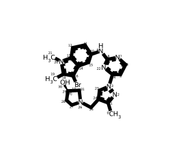 Cc1nn(-c2ccnc(Nc3ccc4c(c3)c(Br)c(C)n4C)n2)cc1CN1CC[C@@H](O)C1